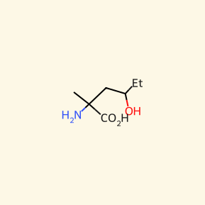 CCC(O)CC(C)(N)C(=O)O